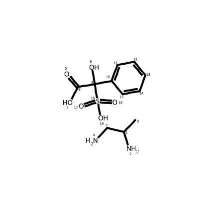 CC(N)CN.O=C(O)C(O)(c1ccccc1)S(=O)(=O)O